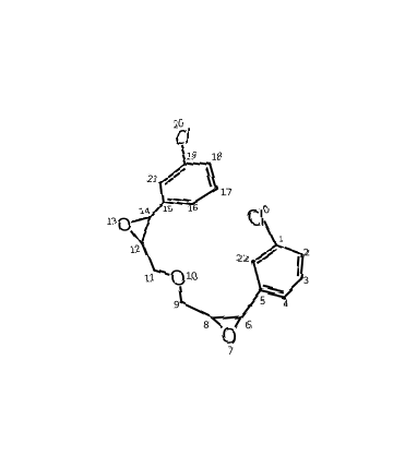 Clc1cccc(C2OC2COCC2OC2c2cccc(Cl)c2)c1